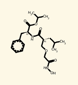 CC(C)C[C@H](COCC(=O)NO)C(=O)N[C@@H](Cc1ccccc1)C(=O)OC(C)C